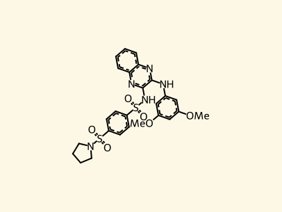 COc1cc(Nc2nc3ccccc3nc2NS(=O)(=O)c2ccc(S(=O)(=O)N3CCCC3)cc2)cc(OC)c1